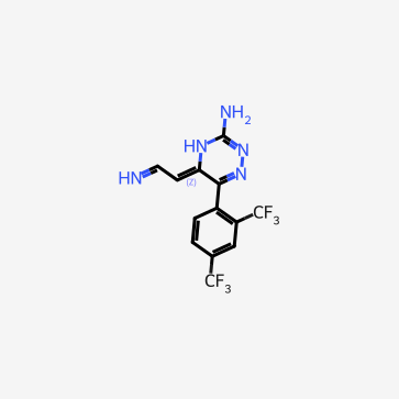 N=C/C=C1\NC(N)=NN=C1c1ccc(C(F)(F)F)cc1C(F)(F)F